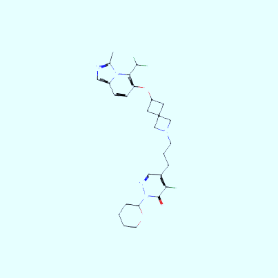 Cc1ncc2ccc(OC3CC4(C3)CN(CCCc3cnn(C5CCCCO5)c(=O)c3Cl)C4)c(C(F)F)n12